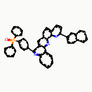 O=P(c1ccccc1)(c1ccccc1)c1ccc(-c2nc3ccccc3c3nc4c(ccc5ccc(-c6ccc7ccccc7c6)nc54)cc23)cc1